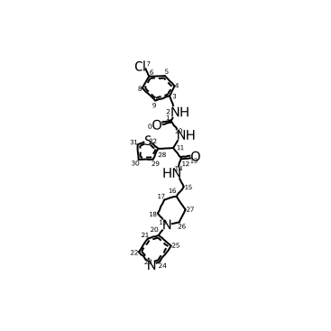 O=C(Nc1ccc(Cl)cc1)NC(C(=O)NCC1CCN(c2ccncc2)CC1)c1cccs1